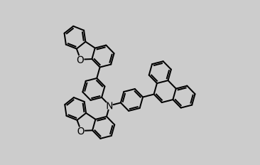 c1cc(-c2cccc3c2oc2ccccc23)cc(N(c2ccc(-c3cc4ccccc4c4ccccc34)cc2)c2cccc3oc4ccccc4c23)c1